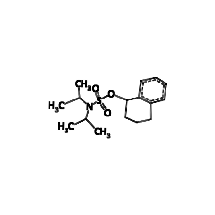 CC(C)N(C(C)C)S(=O)(=O)OC1CCCc2ccccc21